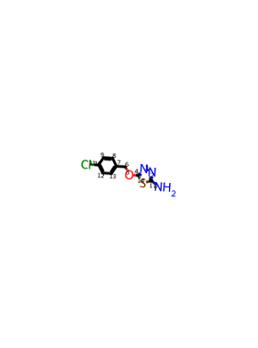 Nc1nnc(OCc2ccc(Cl)cc2)s1